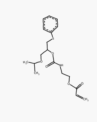 C=CC(=O)OCCNC(=O)OC(COC(C)C)CSc1ccccc1